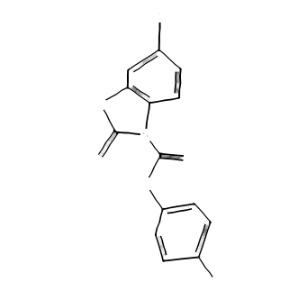 CC(=O)c1ccc2c(c1)oc(=S)n2C(=S)Oc1ccc(C)cc1